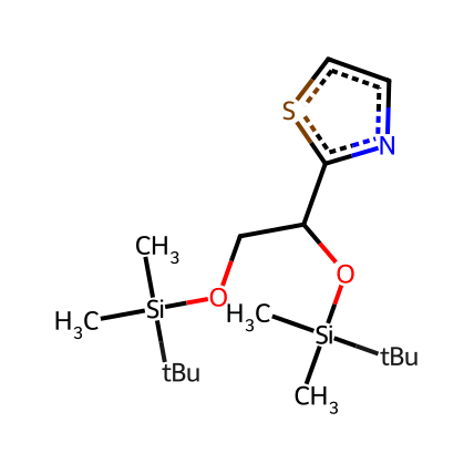 CC(C)(C)[Si](C)(C)OCC(O[Si](C)(C)C(C)(C)C)c1nccs1